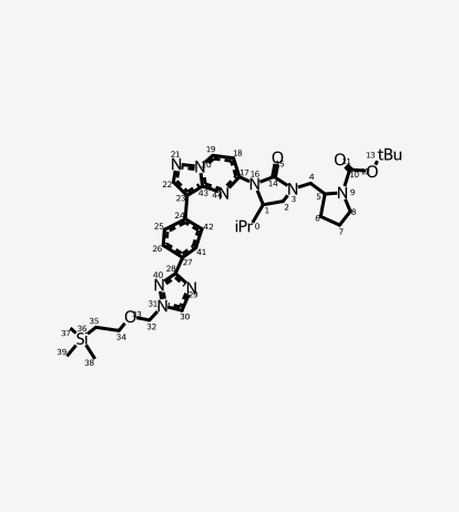 CC(C)C1CN(CC2CCCN2C(=O)OC(C)(C)C)C(=O)N1c1ccn2ncc(-c3ccc(-c4ncn(COCC[Si](C)(C)C)n4)cc3)c2n1